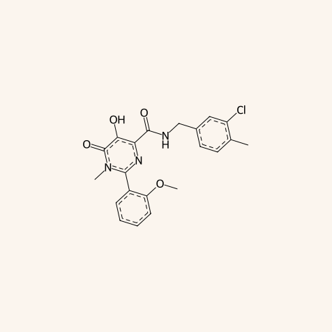 COc1ccccc1-c1nc(C(=O)NCc2ccc(C)c(Cl)c2)c(O)c(=O)n1C